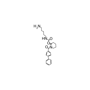 NCCCCCNC(=O)O[C@@H]1CCCCN1C(=O)c1ccc(-c2ccccc2)cc1